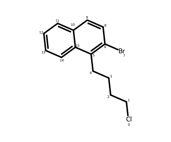 ClCCCCc1c(Br)ccc2ccccc12